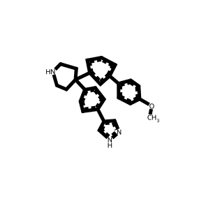 COc1ccc(-c2cccc(C3(c4ccc(-c5cn[nH]c5)cc4)CCNCC3)c2)cc1